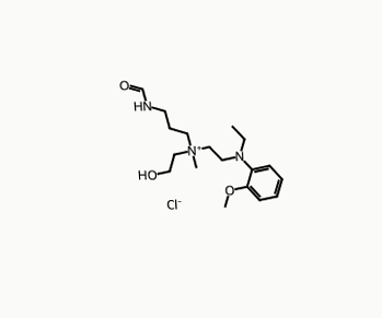 CCN(CC[N+](C)(CCO)CCCNC=O)c1ccccc1OC.[Cl-]